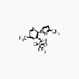 O=S(=O)(Nc1cc(C(F)(F)F)cnc1-n1ccc(C(F)(F)F)n1)C(F)(F)F